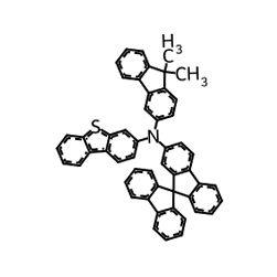 CC1(C)c2ccccc2-c2cc(N(c3ccc4c(c3)C3(c5ccccc5-c5ccccc53)c3ccccc3-4)c3ccc4c(c3)sc3ccccc34)ccc21